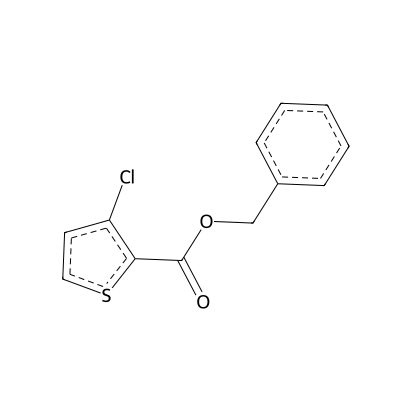 O=C(OCc1ccccc1)c1sccc1Cl